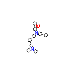 c1ccc(-c2ccc(N(c3ccc(-c4cccc(-c5ccc6c(c5)c5ccccc5n6-c5ccccc5)c4)cc3)c3ccc4c(c3)oc3ccccc34)cc2)cc1